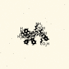 C[C@@H](O)[C@H](NC(=O)[C@H](CCCCN)NC(=O)[C@H](Cc1cn(Br)c2ccccc12)NC(=O)[C@H](Cc1ccccc1)NC(=O)[C@H](Cc1ccccc1)NC(=O)[C@@H](N)CC(N)=O)C(=O)N[C@@H](Cc1ccccc1)C(=O)NCCCC(=O)O